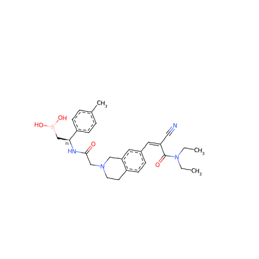 CCN(CC)C(=O)C(C#N)=Cc1ccc2c(c1)CN(CC(=O)N[C@@H](CB(O)O)c1ccc(C)cc1)CC2